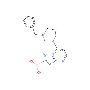 OB(O)c1cc2nccc(C3CCCN(Cc4ccccc4)C3)n2n1